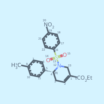 CCOC(=O)C1=CC[C@H](c2ccc(C)cc2)N(S(=O)(=O)c2ccc([N+](=O)[O-])cc2)C1